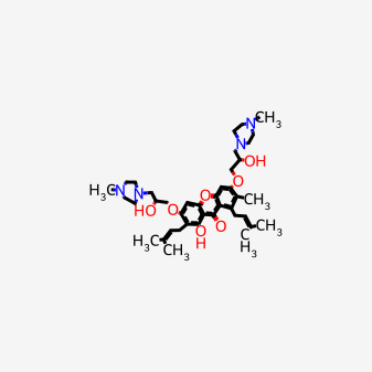 CC(C)=CCc1c(OCC(O)CN2CCN(C)CC2)cc2oc3cc(OCC(O)CN4CCN(C)CC4)c(C)c(CC=C(C)C)c3c(=O)c2c1O